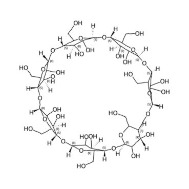 OCC1O[C@H]2O[C@@H]3C(CO)O[C@H](O[C@@H]4C(CO)O[C@H](O[C@@H]5C(CO)O[C@H](O[C@@H]6C(CO)O[C@H](O[C@@H]7C(CO)O[C@@H](O[C@@H]8C(CO)O[C@@H](O[C@H]1C(O)C2O)C(O)[C@H]8O)C(O)[C@H]7O)C(O)[C@H]6O)C(O)[C@H]5O)C(O)[C@H]4O)C(O)[C@H]3O